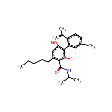 C=C(C)c1ccc(C)cc1-c1c(O)cc(CCCCC)c(C(=O)NC(C)C)c1O